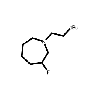 CC(C)(C)CCN1CCCCC(F)C1